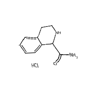 Cl.NC(=O)C1NCCc2c[c]ccc21